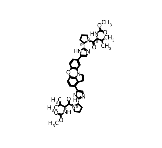 COC(=O)N[C@H](C(=O)N1CCC[C@H]1c1ncc(-c2ccc3c(c2)-n2ccc4c(-c5cnc([C@@H]6CCCN6C(=O)[C@@H](NC(=O)OC)C(C)C)[nH]5)ccc(c42)O3)[nH]1)C(C)C